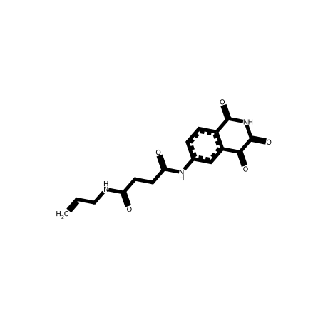 C=CCNC(=O)CCC(=O)Nc1ccc2c(c1)C(=O)C(=O)NC2=O